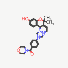 CC1(C)Oc2cc(O)ccc2C2C1=CCN1CN(c3ccc(C(=O)N4CCOCC4)cc3)CN21